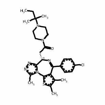 CCC(C)(C)N1CCN(C(=O)C[C@@H]2N=C(c3ccc(Cl)cc3)c3c(sc(C)c3C)-n3c(C)nnc32)CC1